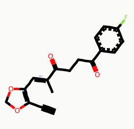 C#CC1=C(/C=C(\C)C(=O)CCC(=O)c2ccc(F)cc2)OCO1